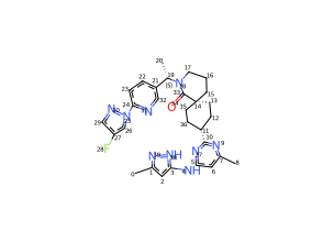 Cc1cc(Nc2cc(C)nc([C@H]3CC[C@]4(CCCN([C@@H](C)c5ccc(-n6cc(F)cn6)nc5)C4=O)CC3)n2)[nH]n1